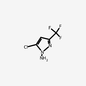 Nn1nc(C(F)(F)F)cc1Cl